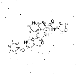 Cc1cc(Oc2ccccc2)ncc1N1C(=O)Nc2c(C(=O)N[C@H]3CCOC3)sc3nccc1c23